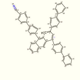 C=C(/C=C(/c1ccc(-c2ccccc2)cc1)c1cc(-c2ccc(-c3ccc(C#N)cc3)cc2)c2ccccc2c1)c1ccc(-c2ccccc2)cc1